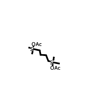 CC(=O)O[Si](C)(C)CCCC[Si](C)(C)OC(C)=O